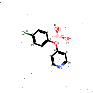 Clc1ccc(Oc2ccncc2)cc1.OBO